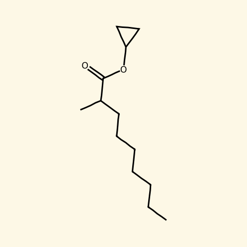 CCCCCCCC(C)C(=O)OC1CC1